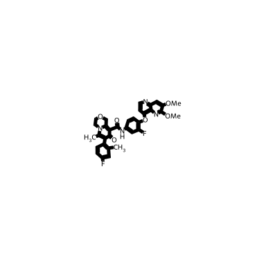 COc1cc2nccc(Oc3ccc(NC(=O)c4c5n(c(C)c(-c6ccc(F)cc6C)c4=O)CCOC5)cc3F)c2nc1OC